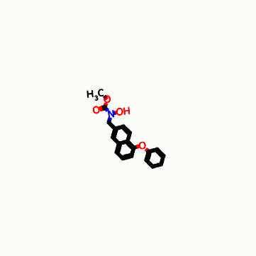 COC(=O)N(O)Cc1ccc2c(OC3=CCCC=C3)cccc2c1